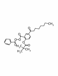 CCCCCCCC(=O)c1ccc(OC(=O)C(C)(C)C)c(C(=O)OOC(=O)c2ccccc2)c1